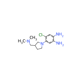 CN(C)CC1CCN(c2cc(N)c(N)cc2Cl)C1